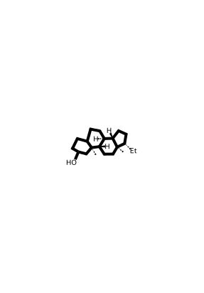 CC[C@H]1CC[C@H]2[C@@H]3CCC4CCC(O)C[C@]4(C)[C@H]3CC[C@]12C